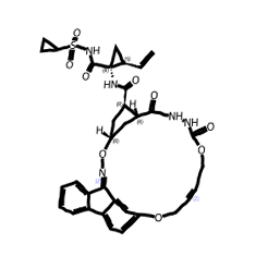 C=C[C@@H]1C[C@]1(NC(=O)[C@@H]1C[C@@H]2C[C@H]1C(=O)NNC(=O)OC/C=C\COc1ccc3c(c1)/C(=N\O2)c1ccccc1-3)C(=O)NS(=O)(=O)C1CC1